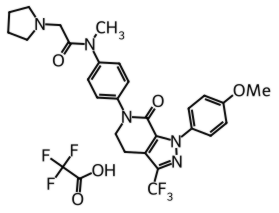 COc1ccc(-n2nc(C(F)(F)F)c3c2C(=O)N(c2ccc(N(C)C(=O)CN4CCCC4)cc2)CC3)cc1.O=C(O)C(F)(F)F